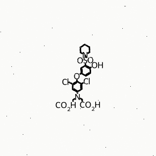 O=C(O)CN(CC(=O)O)c1cc(Cl)c(Oc2ccc(O)c(S(=O)(=O)N3CCCCC3)c2)c(Cl)c1